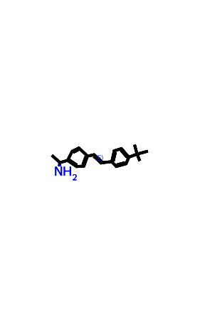 CC(N)c1ccc(/C=C/c2ccc(C(C)(C)C)cc2)cc1